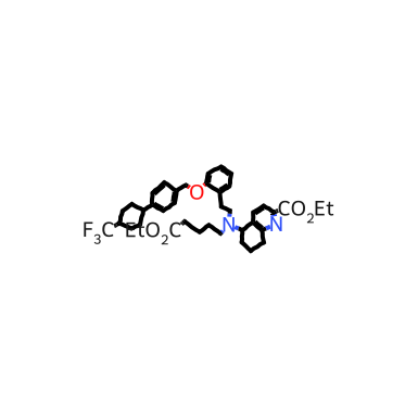 CCOC(=O)CCCCN(CCc1ccccc1OCc1ccc(C2CCC(C(F)(F)F)CC2)cc1)C1CCCc2nc(C(=O)OCC)ccc21